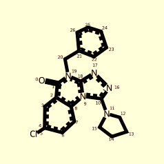 O=c1c2cc(Cl)ccc2n2c(N3CCCC3)nnc2n1Cc1ccccc1